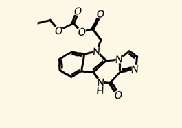 CCOC(=O)OC(=O)Cn1c2ccccc2c2[nH]c(=O)c3nccn3c21